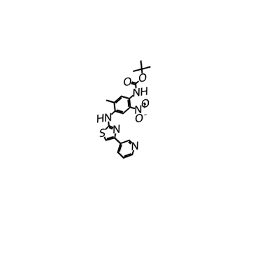 Cc1cc(NC(=O)OC(C)(C)C)c([N+](=O)[O-])cc1Nc1nc(-c2cccnc2)cs1